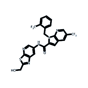 O=C(Nc1cnc2sc(CO)nc2c1)c1cc2cc(C(F)(F)F)cnc2n1Cc1ccccc1C(F)(F)F